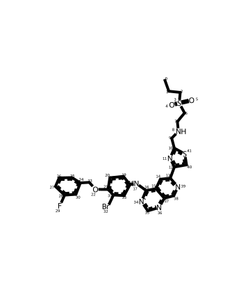 CCCS(=O)(=O)CCNCc1nc(-c2cc3c(Nc4ccc(OCc5cccc(F)c5)c(Br)c4)ncnc3cn2)cs1